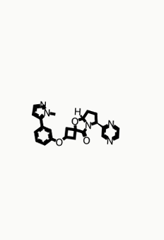 Cn1nccc1-c1cccc(OC2CC3(C2)O[C@@H]2CC[C@@H](c4cnccn4)N2C3=O)c1